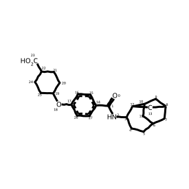 O=C(NC1CCC2CC3CC(C2)C1C3)c1ccc(OC2CCC(C(=O)O)CC2)cc1